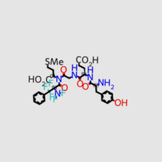 CSCC[C@@H](C(=O)O)N(C(=O)CNC(=O)[C@@H](CCC(=O)O)NC(=O)[C@@H](N)Cc1ccc(O)cc1)C(=O)[C@@](F)(N(F)F)C(F)(F)c1ccccc1